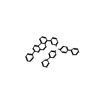 c1ccc(-c2ccc(N(c3ccc(-c4ccccc4)cc3)c3cccc(-c4cccc5c4ccc4cc(-c6ccccc6)ccc45)c3)cc2)cc1